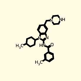 Cc1cccc(C(=O)Nc2nc3cc(CN4CCNCC4)ccc3n2C2CCC(C)CC2)c1